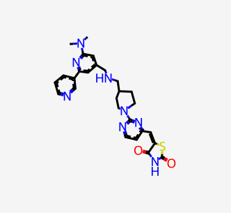 CN(C)c1cc(CNCC2CCN(c3nccc(C=C4SC(=O)NC4=O)n3)CC2)cc(-c2cccnc2)n1